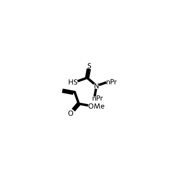 C=CC(=O)OC.CCCN(CCC)C(=S)S